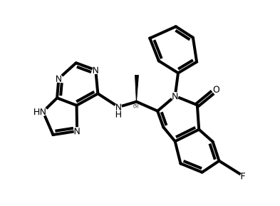 C[C@H](Nc1ncnc2[nH]cnc12)c1cc2ccc(F)cc2c(=O)n1-c1ccccc1